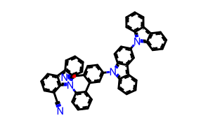 N#Cc1ccc(-n2c3ccccc3c3cc(-n4c5ccccc5c5ccccc54)ccc32)cc1-c1ccccc1-n1c2ccccc2c2cccc(C#N)c21